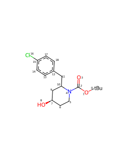 CC(C)(C)OC(=O)N1CC[C@@H](O)CC1Cc1ccc(Cl)cc1